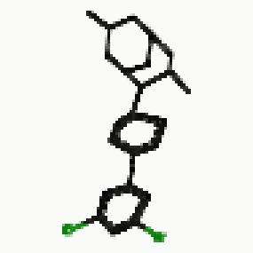 CC1CC2CC(C)C(c3ccc(-c4cc(Cl)cc(Br)c4)cc3)C(C1)C2